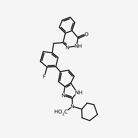 O=C(O)N(c1nc2cc(-c3cc(Cc4n[nH]c(=O)c5ccccc45)ccc3F)ccc2[nH]1)C1CCCCC1